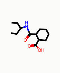 CCC(CC)NC(=O)C1CCCCC1C(=O)O